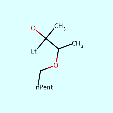 CCCCCCOC(C)C(C)([O])CC